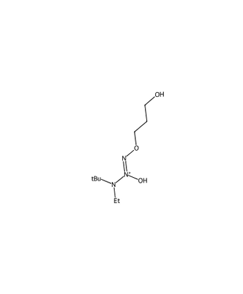 CCN(/[N+](O)=N/OCCCO)C(C)(C)C